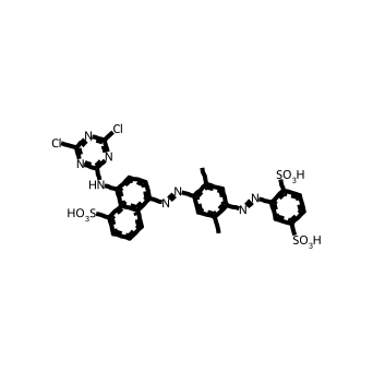 Cc1cc(/N=N/c2ccc(Nc3nc(Cl)nc(Cl)n3)c3c(S(=O)(=O)O)cccc23)c(C)cc1/N=N/c1cc(S(=O)(=O)O)ccc1S(=O)(=O)O